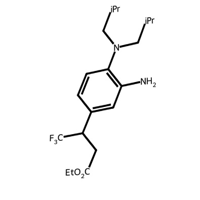 CCOC(=O)CC(c1ccc(N(CC(C)C)CC(C)C)c(N)c1)C(F)(F)F